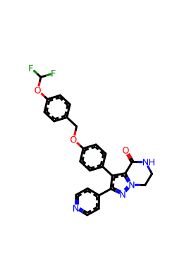 O=C1NCCn2nc(-c3ccncc3)c(-c3ccc(OCc4ccc(OC(F)F)cc4)cc3)c21